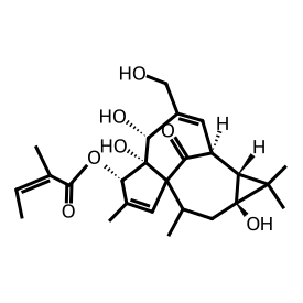 C/C=C(/C)C(=O)O[C@H]1C(C)=CC23C(=O)[C@@H](C=C(CO)[C@@H](O)[C@]12O)[C@@H]1C(C)(C)[C@]1(O)CC3C